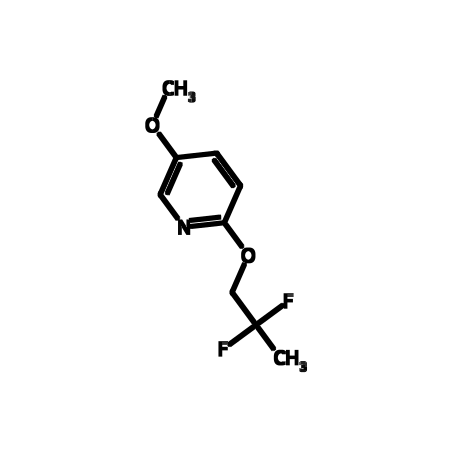 COc1ccc(OCC(C)(F)F)nc1